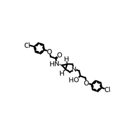 O=C(COc1ccc(Cl)cc1)N[C@@H]1[C@@H]2CN(CC(O)COc3ccc(Cl)cc3)C[C@@H]21